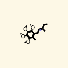 CC/C(C)=C/Cc1c(C)c(OC)c(OC)c(OC)c1OC